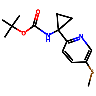 CSc1ccc(C2(NC(=O)OC(C)(C)C)CC2)nc1